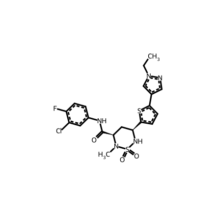 CCn1cc(-c2ccc([C@@H]3C[C@H](C(=O)Nc4ccc(F)c(Cl)c4)N(C)S(=O)(=O)N3)s2)cn1